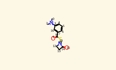 CN(C)c1cccc(C(=O)SN2CCC2=O)c1